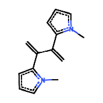 C=C(C(=C)c1cccn1C)c1cccn1C